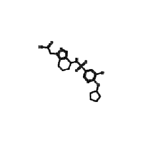 O=C(O)Cn1ncc2c1CCCC2NS(=O)(=O)c1cnc(OC2CCCC2)c(Br)c1